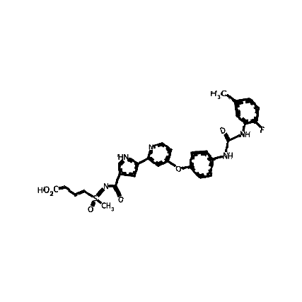 Cc1ccc(F)c(NC(=O)Nc2ccc(Oc3ccnc(-c4cc(C(=O)N=S(C)(=O)CCCC(=O)O)c[nH]4)c3)cc2)c1